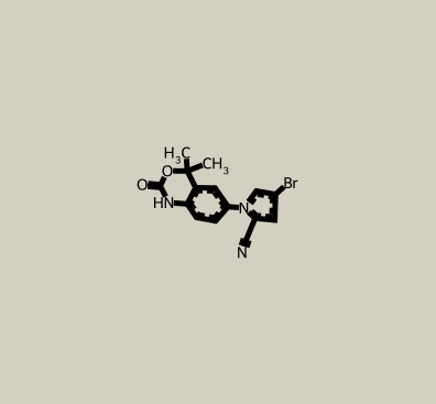 CC1(C)OC(=O)Nc2ccc(-n3cc(Br)cc3C#N)cc21